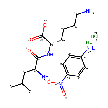 CC(C)C[C@H](N)C(=O)N[C@@H](CCCCN)C(=O)O.Cl.Cl.Nc1ccc([N+](=O)[O-])cc1